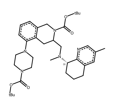 Cc1cnc2c(c1)CCC[C@@H]2N(C)CC1Cc2c(cccc2N2CCN(C(=O)OC(C)(C)C)CC2)CN1C(=O)OC(C)(C)C